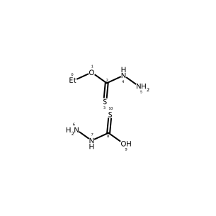 CCOC(=S)NN.NNC(O)=S